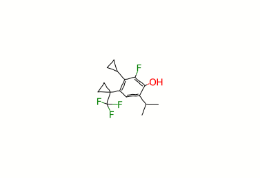 CC(C)c1cc(C2(C(F)(F)F)CC2)c(C2CC2)c(F)c1O